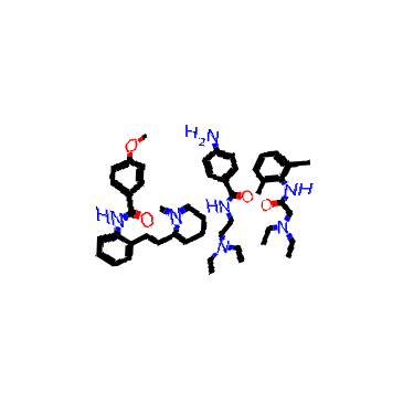 CCN(CC)CC(=O)Nc1c(C)cccc1C.CCN(CC)CCNC(=O)c1ccc(N)cc1.COc1ccc(C(=O)Nc2ccccc2CCC2CCCCN2C)cc1